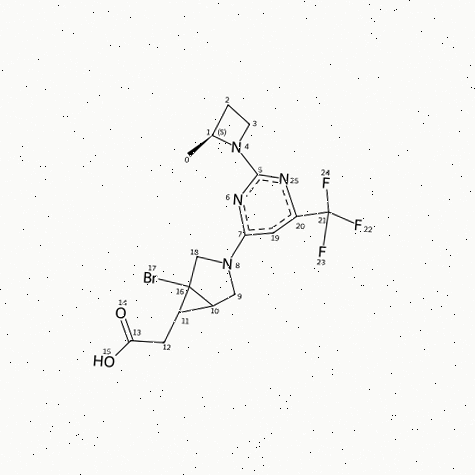 C[C@H]1CCN1c1nc(N2CC3C(CC(=O)O)C3(Br)C2)cc(C(F)(F)F)n1